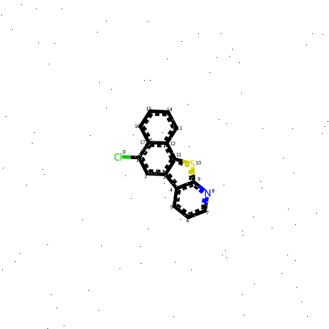 Clc1cc2c3cccnc3sc2c2ccccc12